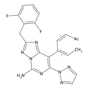 C/C=C(\C=C/C(C)=O)c1c(-n2nccn2)nc(N)n2nc(Cc3c(F)cccc3F)nc12